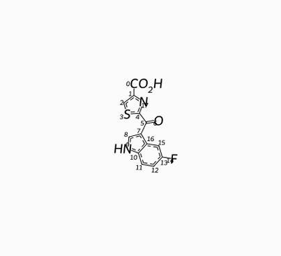 O=C(O)c1csc(C(=O)c2c[nH]c3ccc(F)cc23)n1